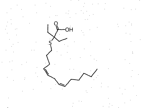 CCCCC/C=C\C/C=C\CCCSC(CC)(CC)C(=O)O